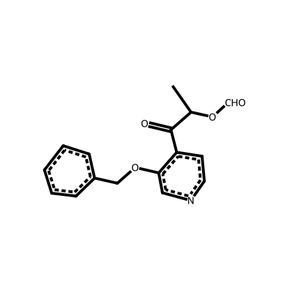 CC(OC=O)C(=O)c1ccncc1OCc1ccccc1